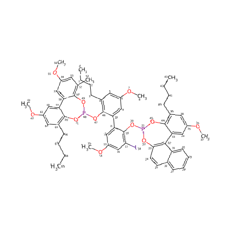 CCCCc1cc(OC)cc(-c2cc(OC)cc(I)c2Op2oc3ccc4ccccc4c3c3cc(OC)cc(CCCC)c3o2)c1Op1oc2c(C)cc(OC)cc2c2cc(OC)cc(CCCC)c2o1